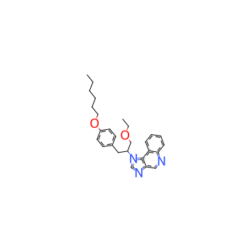 CCCCCCOc1ccc(CC(COCC)n2cnc3cnc4ccccc4c32)cc1